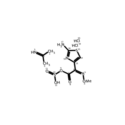 CC(C)=N.CON=C(C(=O)OS(=O)O)c1csc(N)n1.Cl.Cl